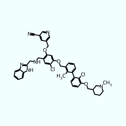 Cc1c(COc2cc(OCc3cncc(C#N)c3)c(CNCc3nc4ccccc4[nH]3)cc2Cl)cccc1-c1cccc(OCC2CCCN(C)C2)c1Cl